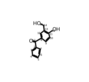 O=C(c1ccccc1)c1ccc(O)c(CO)c1